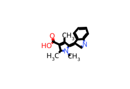 CC1=C(C(=O)O)C(C)N(C)C1=C1C=Nc2ccccc21